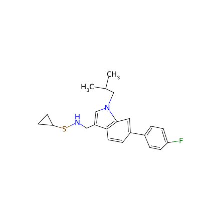 CC(C)Cn1cc(CNSC2CC2)c2ccc(-c3ccc(F)cc3)cc21